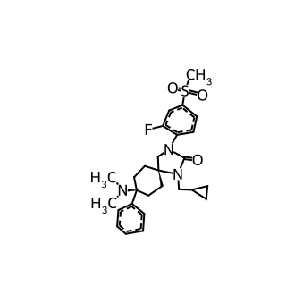 CN(C)[C@]1(c2ccccc2)CC[C@@]2(CC1)CN(c1ccc(S(C)(=O)=O)cc1F)C(=O)N2CC1CC1